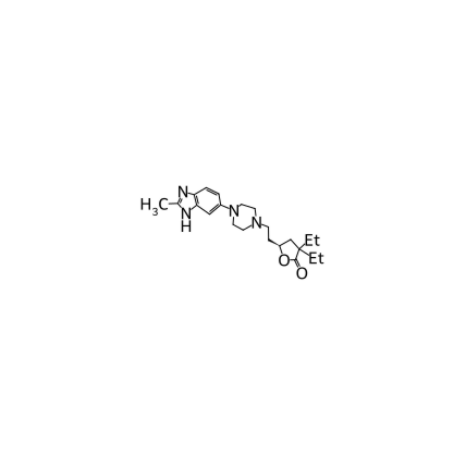 CCC1(CC)C[C@H](CCN2CCN(c3ccc4nc(C)[nH]c4c3)CC2)OC1=O